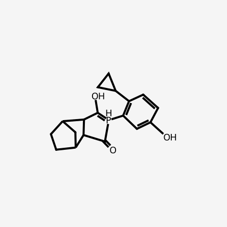 O=C1C2C3CCC(C3)C2C(O)=[PH]1c1cc(O)ccc1C1CC1